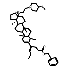 CC/C=C(\CCC(=O)OCc1ccccc1)C1=CCC2(C)C(CCC3(C)C2CCC2[C@H]4CCCC4(NCCN4CCC(SC)CC4)CC[C@]23C)C1C